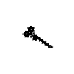 CC(C)(C)OCCCCCCC1=CC([Si](C)(C)C2c3ccccc3-c3ccccc32)C=C1